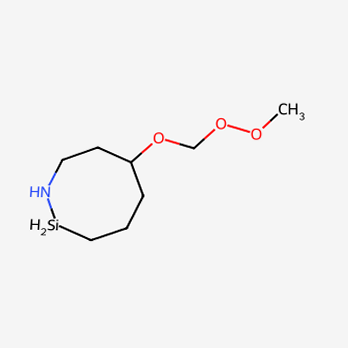 COOCOC1CCC[SiH2]NCC1